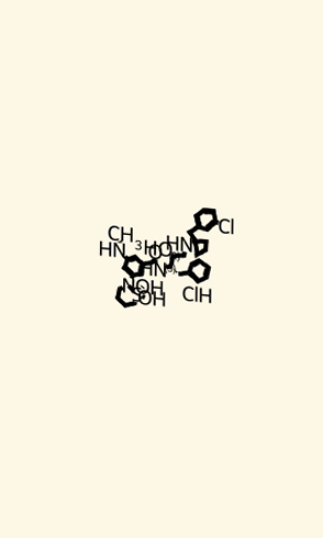 CCNc1cc(C(=O)N[C@@H](Cc2ccccc2)[C@H](O)CNC2(Cc3cccc(Cl)c3)CCC2)cc(N2CCCCS2(O)O)c1.Cl